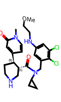 COCCNc1cc(Cl)c(Cl)c(CN(C(=O)[C@@H]2CNCC[C@H]2c2ccn(C)c(=O)c2)C2CC2)c1